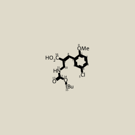 COc1ccc(Cl)cc1C=C(CNC(=O)OC(C)(C)C)C(=O)O